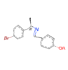 C[C@@H](N=Cc1ccc(O)cc1)c1ccc(Br)cc1